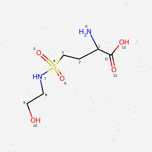 NC(CCS(=O)(=O)NCCO)C(=O)O